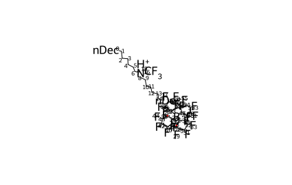 CCCCCCCCCCCCCCCC[NH+](CCCCCCCCCCCCCCCC)CC(F)(F)F.Fc1c(F)c(F)c([B-](c2c(F)c(F)c(F)c(F)c2F)(c2c(F)c(F)c(F)c(F)c2F)c2c(F)c(F)c(F)c(F)c2F)c(F)c1F